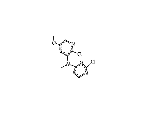 COc1cnc(Cl)c(N(C)c2ccnc(Cl)n2)c1